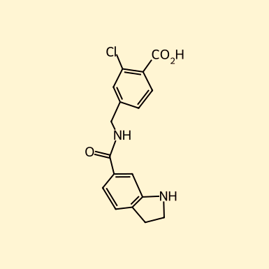 O=C(NCc1ccc(C(=O)O)c(Cl)c1)c1ccc2c(c1)NCC2